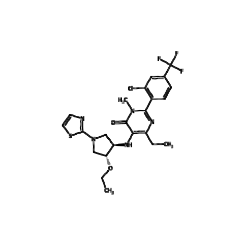 CCO[C@@H]1CN(c2nccs2)C[C@H]1Nc1c(CC)nc(-c2ccc(C(F)(F)F)cc2Cl)n(C)c1=O